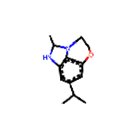 CC(C)c1cc2c3c(c1)OCCN3C(C)N2